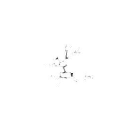 CO[C@@]1(c2cc(OCC(C)O[Si](C)(C)C(C)(C)C)cc(-c3cn(C(=O)OC(C)(C)C)c4cnc(NC(C)=O)cc34)n2)CCOC1